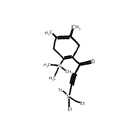 CC[Si](C#CC(=O)C1=C([Si](C)(C)C)CC(C)=C(C)C1)(CC)CC